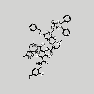 CC1=NO[C@@]2(CC[C@H](C)N3C[C@H]2n2cc(C(=O)NCc4ccc(F)cc4F)c(=O)c(OC(=O)N4CCN(C)C[C@@H]4CN(CC(=O)OCc4ccccc4)C(=O)OCOP(=O)(OCc4ccccc4)OCc4ccccc4)c2C3=O)C1